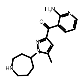 Cc1cc(C(=O)c2cccnc2N)nn1C1CCCNCC1